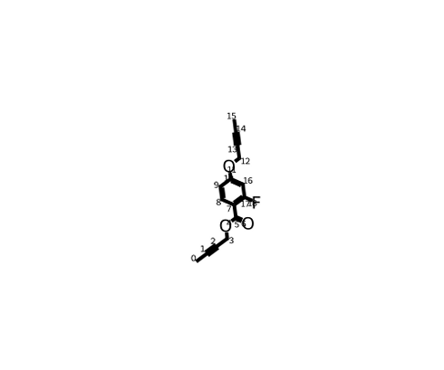 CC#CCOC(=O)c1ccc(OCC#CC)cc1F